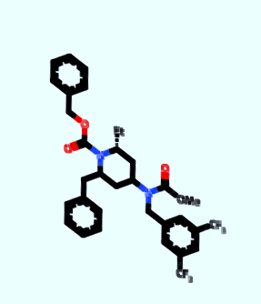 CC[C@@H]1CC(N(Cc2cc(C(F)(F)F)cc(C(F)(F)F)c2)C(=O)OC)CC(Cc2ccccc2)N1C(=O)OCc1ccccc1